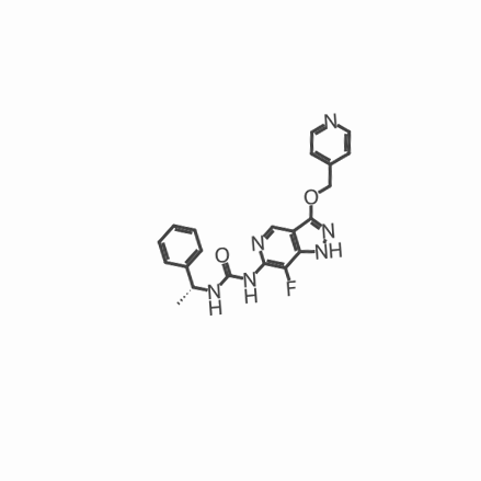 C[C@@H](NC(=O)Nc1ncc2c(OCc3ccncc3)n[nH]c2c1F)c1ccccc1